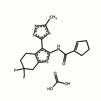 Cc1nsc(-c2c(NC(=O)C3=CCCC3)sc3c2CCC(F)(F)C3)n1.O=C(O)O